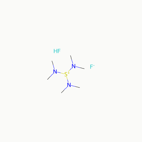 CN(C)[S+](N(C)C)N(C)C.F.[F-]